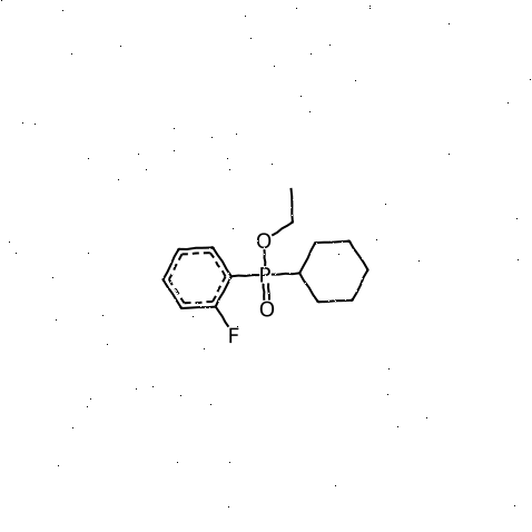 CCOP(=O)(c1ccccc1F)C1CCCCC1